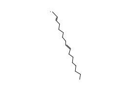 [CH2]C=CCCCCCC=CCCCCCCC